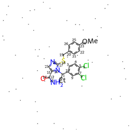 CCC(c1ccc(Cl)c(Cl)c1)n1c(C(N)=O)cnc1SCc1ccc(OC)cc1